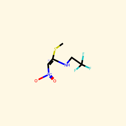 CS/C(=C/[N+](=O)[O-])NCC(F)(F)F